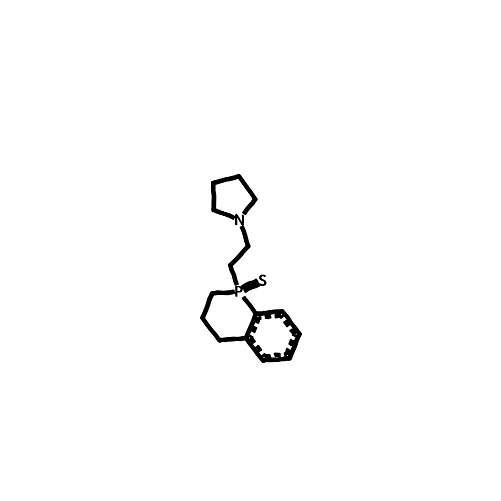 S=P1(CCN2CCCC2)CCCc2ccccc21